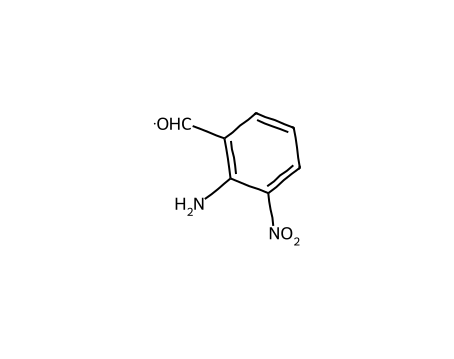 Nc1c([C]=O)cccc1[N+](=O)[O-]